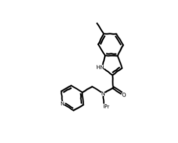 Cc1ccc2cc(C(=O)N(Cc3ccncc3)C(C)C)[nH]c2c1